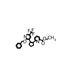 CCOC(=O)c1cccc(C2=C(c3cc(C(F)(F)F)cnc3OCc3ccccc3)CCC2)n1